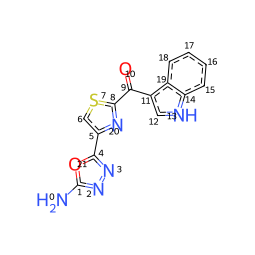 Nc1nnc(-c2csc(C(=O)c3c[nH]c4ccccc34)n2)o1